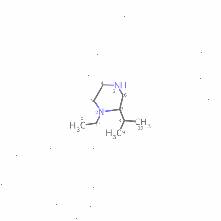 C[CH]N1CCNCC1C(C)C